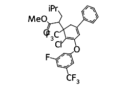 COC(=O)C(CC(C)C)C1(C(F)(F)F)CC(c2ccccc2)=CC(Oc2cc(F)cc(C(F)(F)F)c2)=C1Cl